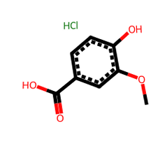 COc1cc(C(=O)O)ccc1O.Cl